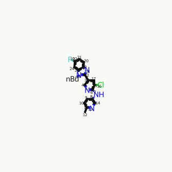 CCCCn1c(-c2cnc(Nc3ccc(C)nc3)c(Cl)c2)nc2ccc(F)cc21